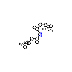 CC1(C)c2ccccc2-c2ccc(-c3cccc(-c4cc(-c5cc(-c6cc(-c7cccc(-c8ccc9c(c8)C(C)(C)c8ccccc8-9)c7)c7ccccc7c6)ncn5)cc5ccccc45)c3)cc21